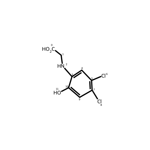 O=C(O)CNc1cc(Cl)c(Cl)cc1O